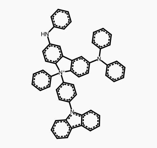 c1ccc(Nc2ccc3c(c2)-c2cc(N(c4ccccc4)c4ccccc4)ccc2[N+]3(c2ccccc2)c2ccc(-n3c4ccccc4c4ccccc43)cc2)cc1